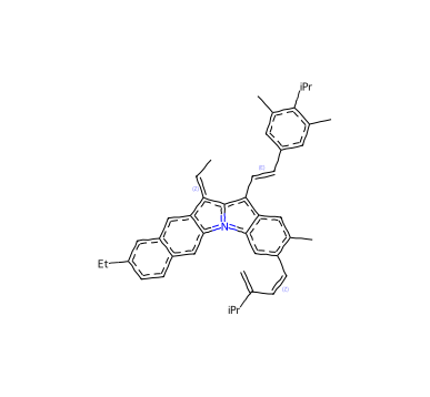 C=C(/C=C\c1cc2c(cc1C)c(/C=C/c1cc(C)c(C(C)C)c(C)c1)c1/c(=C\C)c3cc4cc(CC)ccc4cc3n12)C(C)C